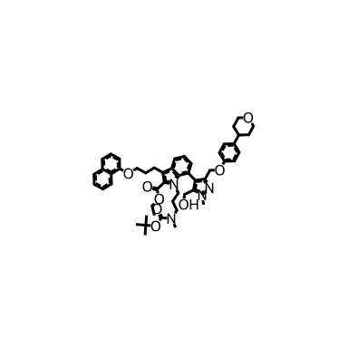 CCOC(=O)c1c(CCCOc2cccc3ccccc23)c2cccc(-c3c(COc4ccc(C5CCOCC5)cc4)nn(C)c3CO)c2n1CCCN(C)C(=O)OC(C)(C)C